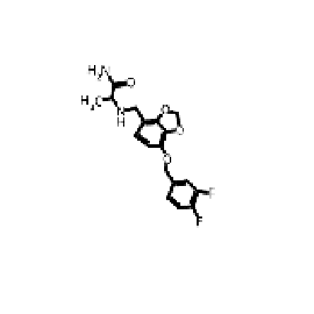 CC(NCc1ccc(OCc2ccc(F)c(F)c2)c2c1OCO2)C(N)=O